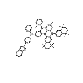 Cc1cc2c3c(c1)N(c1c(C)cccc1C)c1cc(N(c4ccccc4)c4ccc(-c5cc6ccccc6o5)cc4)ccc1B3c1cc3c(cc1N2c1ccc2c(c1)C(C)(C)CCC2(C)C)C(C)(C)CCC3(C)C